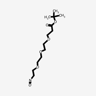 CC(C)(C)OC(=O)CCOCCOCCOCCN=O